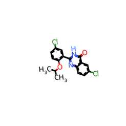 CC(C)Oc1ccc(Cl)cc1-c1nc2ccc(Cl)cc2c(=O)[nH]1